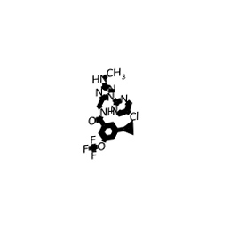 CNc1nc(CNC(=O)c2cc(OC(F)(F)F)cc(C3CC3)c2)n(-c2ncc(Cl)cn2)n1